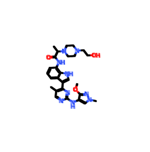 COc1nn(C)cc1Nc1ncc(C)c(-c2c[nH]c3c(NC(=O)C(C)N4CCN(CCO)CC4)cccc23)n1